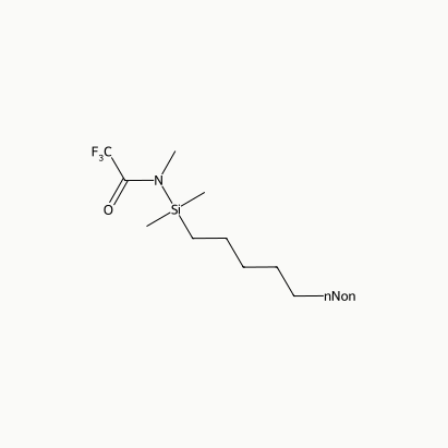 CCCCCCCCCCCCCC[Si](C)(C)N(C)C(=O)C(F)(F)F